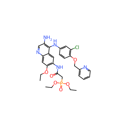 CCOc1cc2ncc(N)c(Nc3ccc(OCc4ccccn4)c(Cl)c3)c2cc1NC(=O)CP(=O)(OCC)OCC